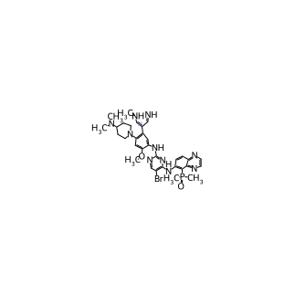 CN/C=C(\C=N)c1cc(Nc2ncc(Br)c(Nc3ccc4nccnc4c3P(C)(C)=O)n2)c(OC)cc1N1CCC(N(C)C)CC1